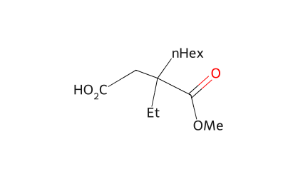 CCCCCCC(CC)(CC(=O)O)C(=O)OC